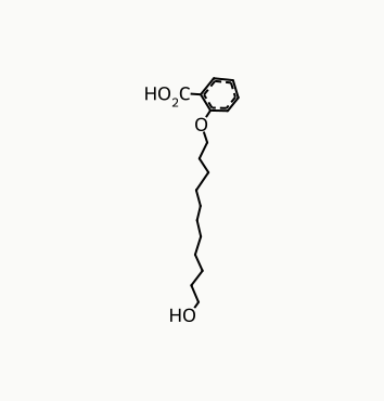 O=C(O)c1ccccc1OCCCCCCCCCCCO